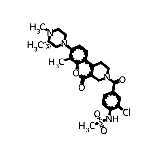 Cc1c(N2CCN(C)[C@@H](C)C2)ccc2c3c(c(=O)oc12)CN(C(=O)c1ccc(NS(C)(=O)=O)c(Cl)c1)CC3